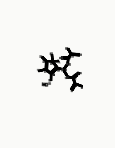 C=C(C)C(=O)[O][Ti]([O]C(=O)C(=C)C)[C]1=C(C)C(C)=C(C)C1(C)C.Cl